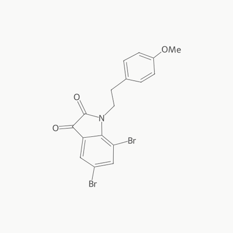 COc1ccc(CCN2C(=O)C(=O)c3cc(Br)cc(Br)c32)cc1